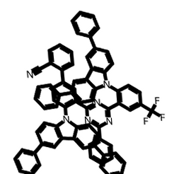 N#Cc1ccccc1-c1ccc(-n2c3ccc(-c4ccccc4)cc3c3cc(-c4ccccc4)ccc32)c(-c2nc(-c3ccccc3)nc(-c3cc(C(F)(F)F)ccc3-n3c4ccc(-c5ccccc5)cc4c4cc(-c5ccccc5)ccc43)n2)c1